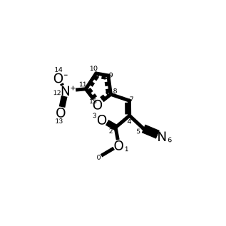 COC(=O)C(C#N)=Cc1ccc([N+](=O)[O-])o1